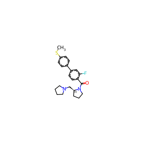 CSc1ccc(-c2ccc(C(=O)N3CCC[C@H]3CN3CCCC3)c(F)c2)cc1